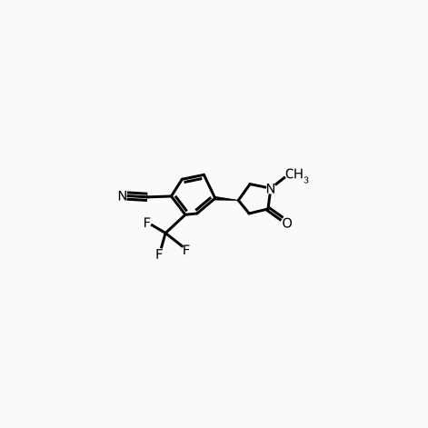 CN1C[C@H](c2ccc(C#N)c(C(F)(F)F)c2)CC1=O